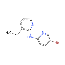 CCc1cccnc1Nc1ccc(Br)cn1